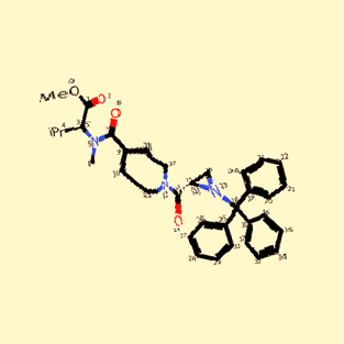 COC(=O)[C@H](C(C)C)N(C)C(=O)C1CCN(C(=O)[C@@H]2CN2C(c2ccccc2)(c2ccccc2)c2ccccc2)CC1